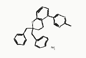 Cc1ncc(-c2cccc3c2CCC(Cc2ccccc2)(Cc2ccccc2)O3)cn1.N